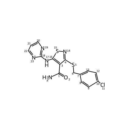 NC(=O)c1c(SCc2ccc(Cl)cc2)nsc1Nc1ncccn1